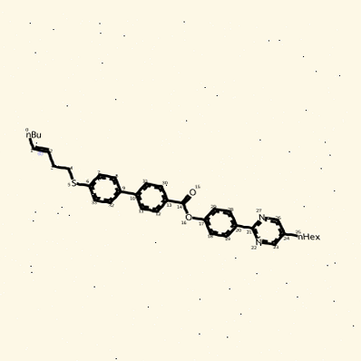 CCCC/C=C/CCSc1ccc(-c2ccc(C(=O)Oc3ccc(-c4ncc(CCCCCC)cn4)cc3)cc2)cc1